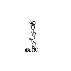 CC(C)COC(=O)N1CCC(N(Cc2ccc(-c3ccc(S(C)(=O)=O)cc3)nc2)C2CC2)CC1